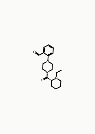 CCN1CCCC[C@H]1C(=O)N1CCN(c2ccccc2C=O)CC1